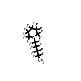 FC(F)(F)C(F)(F)C(F)(F)C(F)(F)C(F)(F)N1C(F)(F)C(F)(F)C(F)(F)C(F)(F)C1(F)F